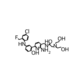 Nc1nc(-c2cc(Nc3ccc(Cl)cc3CF)ccc2O)ccc1CNC(=O)CN(CCO)CCO